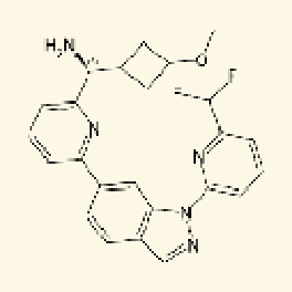 COC1CC([C@H](N)c2cccc(-c3ccc4cnn(-c5cccc(C(F)F)n5)c4c3)n2)C1